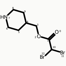 O=C(OCC1CCNCC1)C(Br)Br